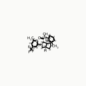 Cc1cccc(N(C)C(=O)[C@@H]2[C@H]3CCC[C@H]3CN2c2cc(C(F)(F)F)cc(C)n2)c1